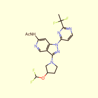 CC(=O)Nc1cc2c(cn1)c(N1CCC(OC(F)F)C1)nn2-c1ccnc(C(C)(F)F)n1